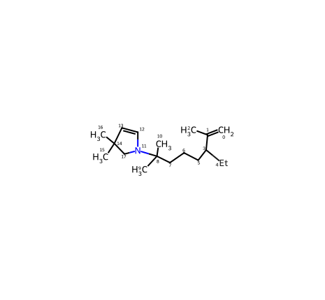 C=C(C)C(CC)CCCC(C)(C)N1C=CC(C)(C)C1